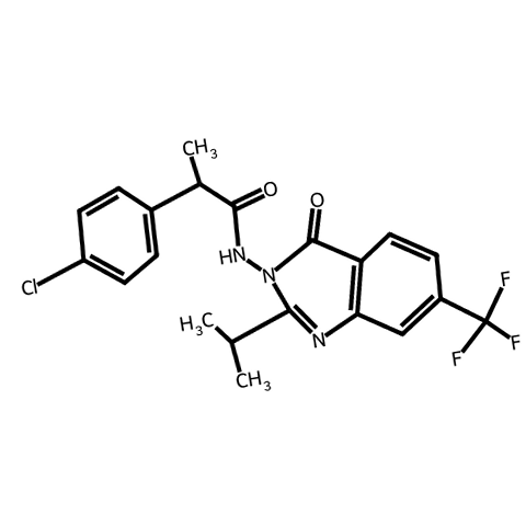 CC(C)c1nc2cc(C(F)(F)F)ccc2c(=O)n1NC(=O)C(C)c1ccc(Cl)cc1